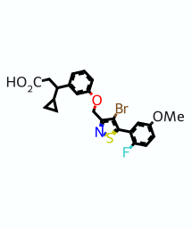 COc1ccc(F)c(-c2snc(COc3cccc(C(CC(=O)O)C4CC4)c3)c2Br)c1